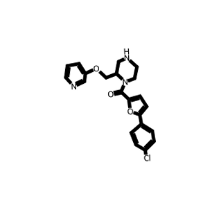 O=C(c1ccc(-c2ccc(Cl)cc2)o1)N1CCNCC1COc1cccnc1